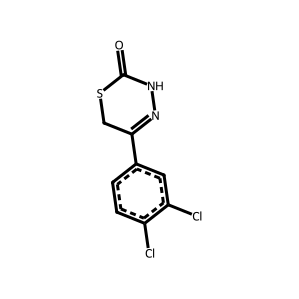 O=C1NN=C(c2ccc(Cl)c(Cl)c2)CS1